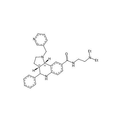 CCN(CC)CCNC(=O)c1ccc2c(c1)[C@@H]1[C@@H](CCN1Cc1cccnc1)C(c1ccccc1)N2